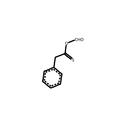 O=COC(=S)Cc1ccccc1